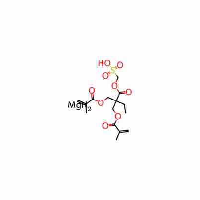 C=C(C)C(=O)OCC(CC)(COC(=O)C(=C)C)C(=O)OCS(=O)(=O)O.[MgH2]